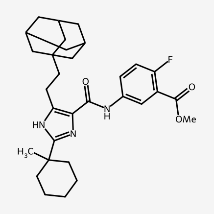 COC(=O)c1cc(NC(=O)c2nc(C3(C)CCCCC3)[nH]c2CCC23CC4CC(CC(C4)C2)C3)ccc1F